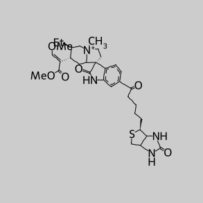 CC[C@H]1C[N+]2(C)CC[C@]3(C(=O)Nc4cc(C(=O)CCCC[C@@H]5SCC6NC(=O)NC65)ccc43)C2C[C@@H]1/C(=C\OC)C(=O)OC